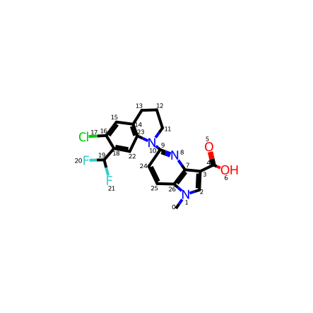 Cn1cc(C(=O)O)c2nc(N3CCCc4cc(Cl)c(C(F)F)cc43)ccc21